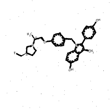 Cc1c(-c2ccc(O)cc2)n(Cc2ccc(OC[C@H](C)N3CC[C@@H](CF)C3)cc2)c2ccc(O)cc12